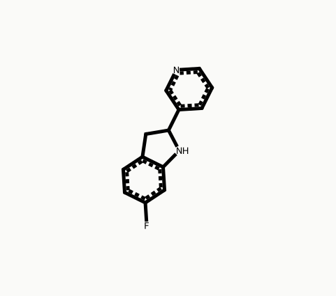 Fc1ccc2c(c1)NC(c1cccnc1)C2